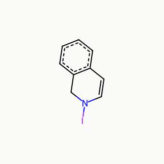 IN1C=Cc2ccccc2C1